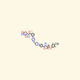 Cc1cc(O[C@H]2C(C)(C)[C@H](NC(=O)c3ccc(N4CCC(CN5CCN(c6ccc(F)c(C(=O)NC7CCC(=O)NC7=O)c6)CC5)CC4)cc3)C2(C)C)cc(C)c1C#N